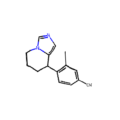 Cc1cc(C#N)ccc1C1CCCn2cncc21